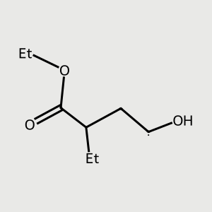 CCOC(=O)C(CC)C[CH]O